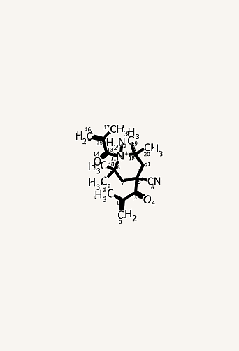 C=C(C)C(=O)C1(C#N)CC(C)(C)[N+](N)(C(=O)C(=C)C)C(C)(C)C1